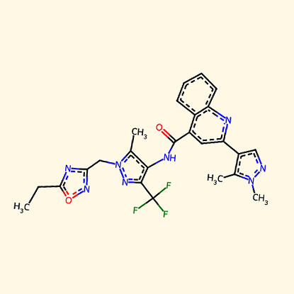 CCc1nc(Cn2nc(C(F)(F)F)c(NC(=O)c3cc(-c4cnn(C)c4C)nc4ccccc34)c2C)no1